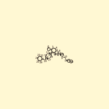 COc1ccc(CNOCCC=C=O)cc1N1CCN(Cc2ccccc2)CC1